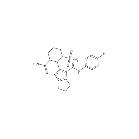 NC(=O)C1CCCN(S(N)(=O)=O)C1c1sc2c(c1C(=O)Nc1ccc(Cl)cc1)CCC2